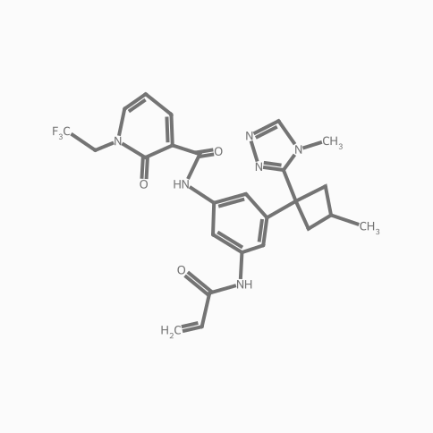 C=CC(=O)Nc1cc(NC(=O)c2cccn(CC(F)(F)F)c2=O)cc(C2(c3nncn3C)CC(C)C2)c1